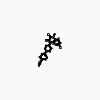 Cn1c(=O)c(=O)n(C2CCN(c3ncc(C#N)cn3)CC2)c2nc(Cl)ccc21